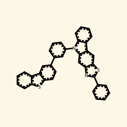 c1ccc(-c2nc3cc4c(cc3s2)c2ccccc2n4-c2cccc(-c3ccc4sc5ccccc5c4c3)c2)cc1